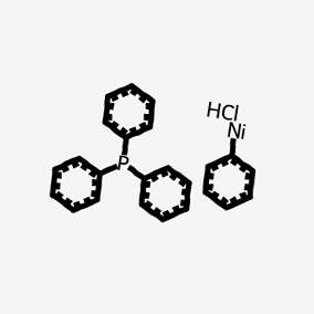 Cl.[Ni][c]1ccccc1.c1ccc(P(c2ccccc2)c2ccccc2)cc1